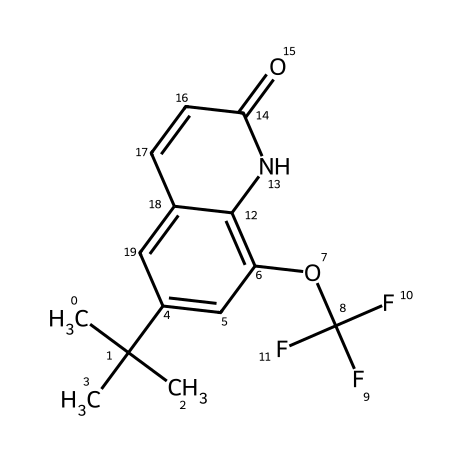 CC(C)(C)c1cc(OC(F)(F)F)c2[nH]c(=O)ccc2c1